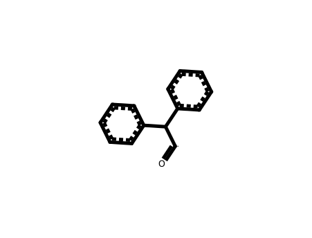 O=[C]C(c1ccccc1)c1ccccc1